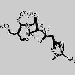 CC(=O)OCC1=C(OC(=O)O)N2C(=O)[C@@H](NC(=O)Cc3nc(N)n(C)n3)[C@@H]2SC1